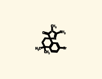 CN1C(=O)C2(CCC(C)(C)c3ccc(Br)cc32)N=C1N